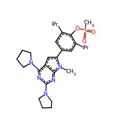 CC(C)c1cc(-c2cc3c(N4CCCC4)nc(N4CCCC4)nc3n2C)cc(C(C)C)c1OS(C)(=O)=O